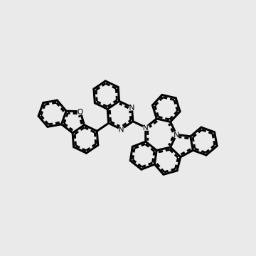 c1ccc2c(-c3cccc4c3oc3ccccc34)nc(-n3c4cccc5ccc6c7ccccc7n(c7ccccc73)c6c54)nc2c1